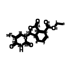 CCOC(=O)c1cccc2c1C(=O)OC2n1cc(F)c(=O)[nH]c1=O